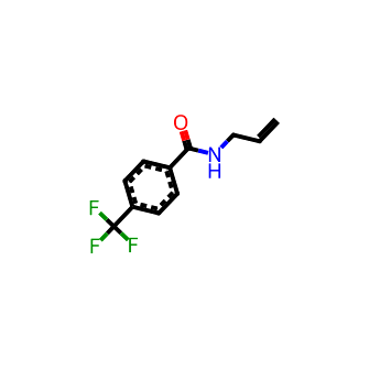 C=CCNC(=O)c1ccc(C(F)(F)F)cc1